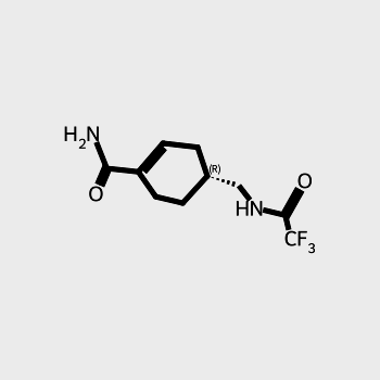 NC(=O)C1=CC[C@H](CNC(=O)C(F)(F)F)CC1